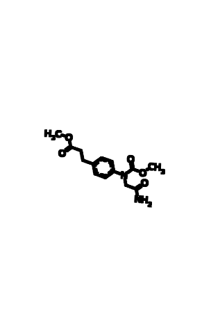 COC(=O)CCc1ccc(N(CC(N)=O)C(=O)OC)cc1